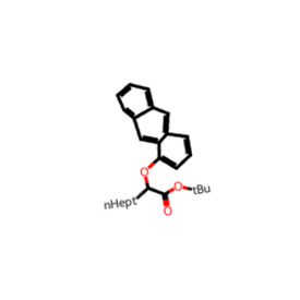 CCCCCCCC(Oc1cccc2cc3ccccc3cc12)C(=O)OC(C)(C)C